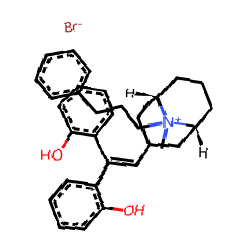 C[N+]1(CCCc2ccccc2)[C@@H]2CCC[C@H]1CC(C=C(c1ccccc1O)c1ccccc1O)C2.[Br-]